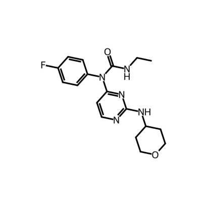 CCNC(=O)N(c1ccc(F)cc1)c1ccnc(NC2CCOCC2)n1